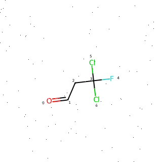 O=CCC(F)(Cl)Cl